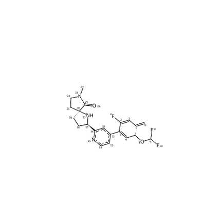 C=C/C=C(F)\C(=C/COC(F)F)c1ccnc([C@H]2CC[C@@]3(CCN(C)C3=O)N2)c1